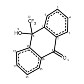 O=C1c2ccccc2C(O)(C(F)(F)F)c2ccccc21